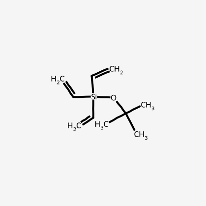 C=C[Si](C=C)(C=C)OC(C)(C)C